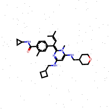 CC(C)=C/C(=C1/N=C(NCC2CCC2)C=C(NCC2CCOCC2)N1C)c1ccc(C(=O)NC2CC2)c(C)c1